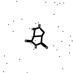 O=C1NC(=O)C2NNCC12